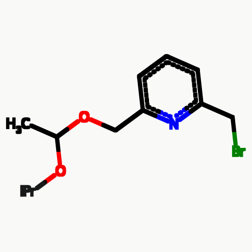 CC(C)OC(C)OCc1cccc(CBr)n1